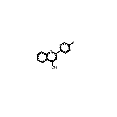 Oc1cc(-c2ccc(F)cn2)nc2ccccc12